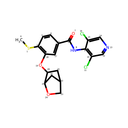 CSc1ccc(C(=O)Nc2c(Cl)cncc2Cl)cc1OC1CC2COC1C2